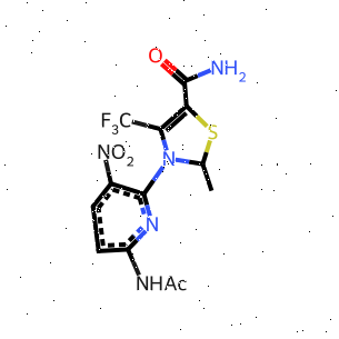 CC(=O)Nc1ccc([N+](=O)[O-])c(N2C(C(F)(F)F)=C(C(N)=O)SC2C)n1